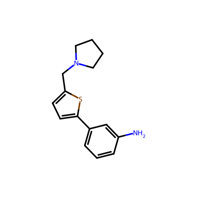 Nc1cccc(-c2ccc(CN3CCCC3)s2)c1